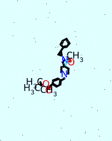 CC(=O)N(CC1(F)CCN(Cc2ccc(C(=O)OC(C)(C)C)cc2)CC1)C1CC1c1ccccc1